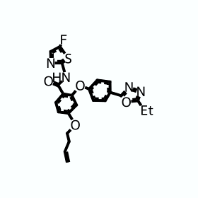 C=CCCOc1ccc(C(=O)Nc2ncc(F)s2)c(Oc2ccc(-c3nnc(CC)o3)cc2)c1